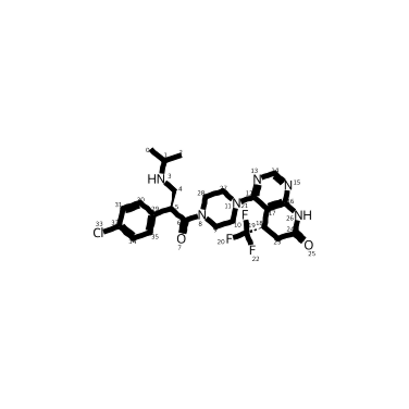 CC(C)NC[C@@H](C(=O)N1CCN(c2ncnc3c2[C@@H](C(F)(F)F)CC(=O)N3)CC1)c1ccc(Cl)cc1